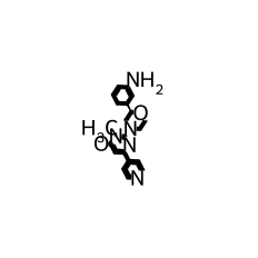 Cn1c(N2CCO[C@H](C3C=C(N)C=CC3)C2)nc(-c2ccncc2)cc1=O